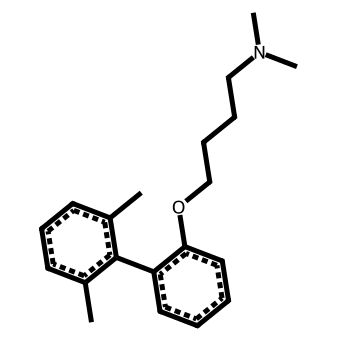 Cc1cccc(C)c1-c1ccccc1OCCCCN(C)C